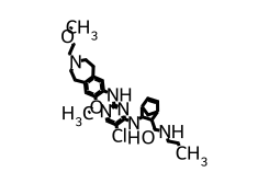 CCCNC(=O)C1C2C=CC(C2)C1Nc1nc(Nc2cc3c(cc2OC)CCN(CCOC)CC3)ncc1Cl